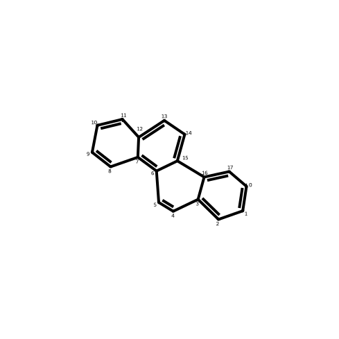 [c]1ccc2ccc3c4ccc[c]c4ccc3c2c1